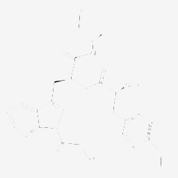 CCCCOC(=O)n1cc(C[C@H](NC(=O)[C@H](Cc2ccc(OCCCC)cc2)NC(C)=O)C(=O)N[C@@H](CC(C)C)C(=O)O)c2ccccc21